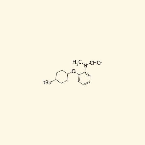 CN([C]=O)c1ccccc1OC1CCC(C(C)(C)C)CC1